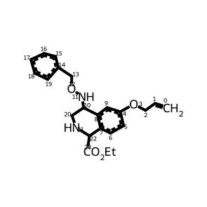 C=CCOc1ccc2c(c1)C(NOCc1ccccc1)CNC2C(=O)OCC